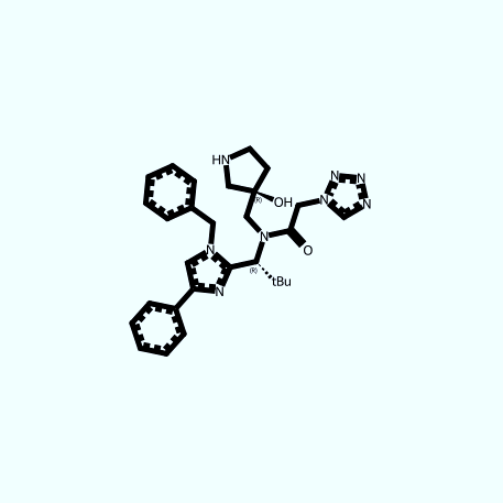 CC(C)(C)[C@H](c1nc(-c2ccccc2)cn1Cc1ccccc1)N(C[C@@]1(O)CCNC1)C(=O)Cn1cnnn1